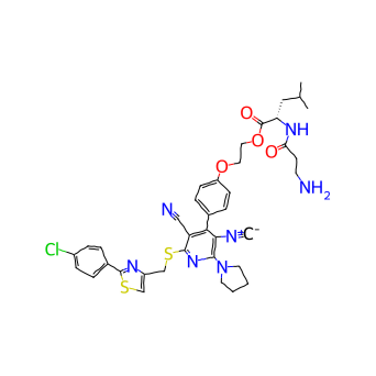 [C-]#[N+]c1c(N2CCCC2)nc(SCc2csc(-c3ccc(Cl)cc3)n2)c(C#N)c1-c1ccc(OCCOC(=O)[C@H](CC(C)C)NC(=O)CCN)cc1